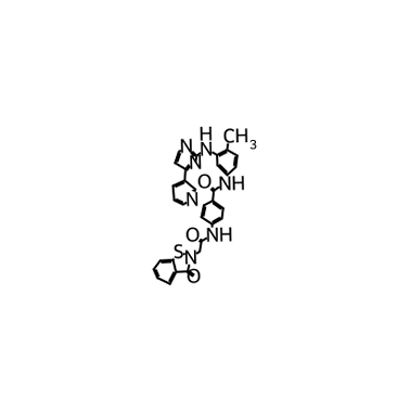 Cc1ccc(NC(=O)c2ccc(NC(=O)Cn3sc4ccccc4c3=O)cc2)cc1Nc1nccc(-c2cccnc2)n1